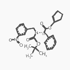 CC(C)(C)OC(=O)N(Cc1cccc([N+](=O)[O-])c1)[C@H](C(=O)OC1CCCC1)c1ccccc1